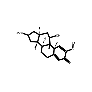 CCSC1=C[C@@]2(C)C(=CC1=O)CC[C@H]1[C@@H]3CC(OC)C[C@@]3(C)CC(O)C12F